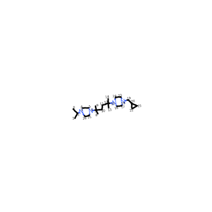 CC(C)N1CCN(C(C)(C)CCC(C)(C)N2CCN(CC3CC3)CC2)CC1